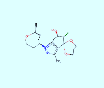 C[C@H]1C[C@@H](n2nc(C(F)(F)F)c3c2[C@@H](O)[C@@H](F)C32OCCO2)CCO1